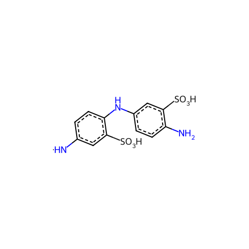 [NH]c1ccc(Nc2ccc(N)c(S(=O)(=O)O)c2)c(S(=O)(=O)O)c1